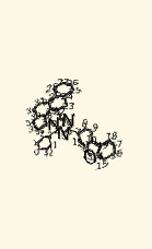 c1ccc(-c2nc(-c3ccc4c(c3)oc3ccccc34)nc(-c3cc4ccccc4c4ccc5ccccc5c34)n2)cc1